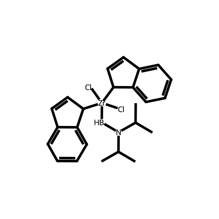 CC(C)N([BH][Zr]([Cl])([Cl])([CH]1C=Cc2ccccc21)[CH]1C=Cc2ccccc21)C(C)C